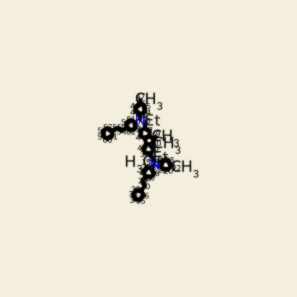 CCC(c1ccc2c(c1)C(C)(C)c1cc(C(C)(CC)N(c3ccc(C)cc3)c3ccc(/C=C/c4ccccc4)cc3)ccc1-2)N(c1ccc(C)cc1)c1ccc(/C=C/c2ccccc2)cc1